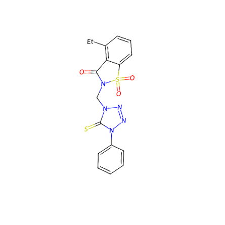 CCc1cccc2c1C(=O)N(Cn1nnn(-c3ccccc3)c1=S)S2(=O)=O